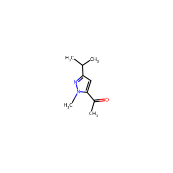 CC(=O)c1cc(C(C)C)nn1C